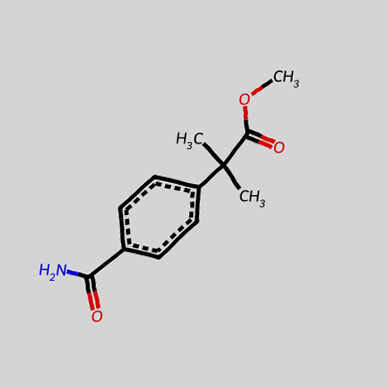 COC(=O)C(C)(C)c1ccc(C(N)=O)cc1